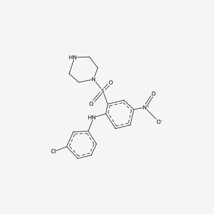 O=[N+]([O-])c1ccc(Nc2cccc(Cl)c2)c(S(=O)(=O)N2CCNCC2)c1